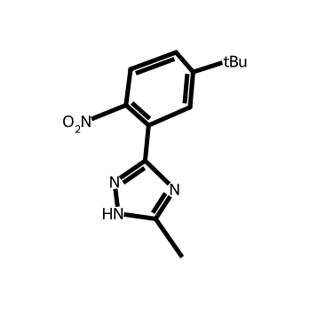 Cc1nc(-c2cc(C(C)(C)C)ccc2[N+](=O)[O-])n[nH]1